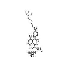 CCCCCCC=COc1ccc(C(=O)c2c(C)ccc3oc(-c4nnn[nH]4)c(N)c(=O)c23)cc1